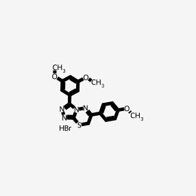 Br.COc1ccc(C2=Nn3c(nnc3-c3cc(OC)cc(OC)c3)SC2)cc1